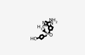 C#Cc1ccc(CN(C(=O)c2ccc3nc(N)c4cnn(C)c4c3c2)C2CC2)cc1